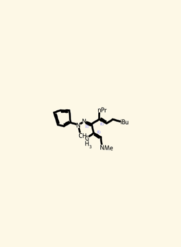 CCCC(=C\CC(C)CC)/C(=N/N(C)c1ccccc1)C(/C)=C/NC